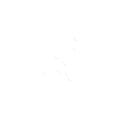 CC1CCCN1c1ccc(-c2nc3cc(N4CCOCC4)cnc3n2Cc2ccn(C)n2)cn1